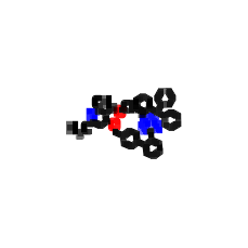 COCc1c(OCc2ccc(-c3ccccc3-c3nnn(C(c4ccccc4)(c4ccccc4)c4ccccc4)n3)cc2)cc(C)nc1C